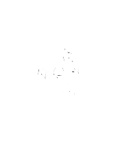 CCCC[S+]([O-])CSc1nc(-c2nccs2)cc(-c2cnc(CC)n2C)c1C#N